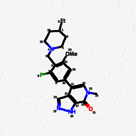 CCC1CCN(Cc2c(F)cc(-c3cn(C)c(=O)c4[nH]ncc34)cc2OC)CC1